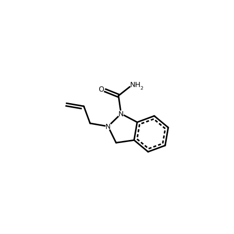 C=CCN1Cc2ccccc2N1C(N)=O